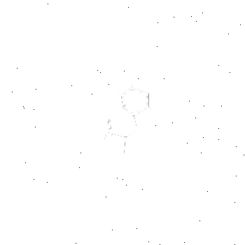 [CH2]C(Oc1ccccc1)[N+](=O)[O-]